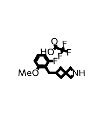 COc1cccc(F)c1CC1CC2(CNC2)C1.O=C(O)C(F)(F)F